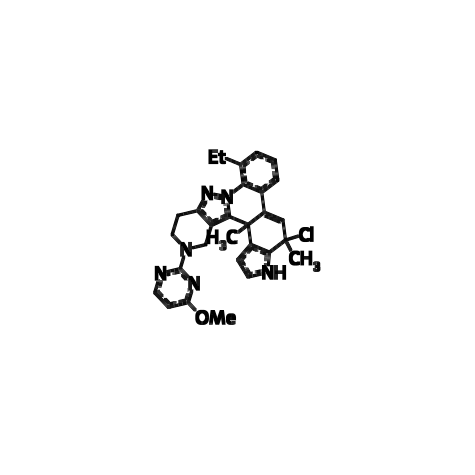 CCc1cccc2c1-n1nc3c(c1C1(C)C2=CC(C)(Cl)c2[nH]ccc21)CN(c1nccc(OC)n1)CC3